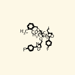 Cc1cccc(COCC(C)(C)COCc2coc(-c3ccc(F)cc3)n2)c1C(=O)O.Fc1ccc(-c2nc(CI)co2)cc1